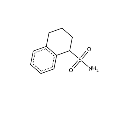 NS(=O)(=O)C1CCCc2ccccc21